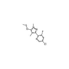 CSOc1c(C)c(-c2ncc(Cl)cc2F)nn1C